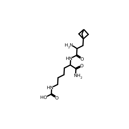 NC(=O)C(CCCCNC(=O)O)NC(=O)C(N)CC12CC(C1)C2